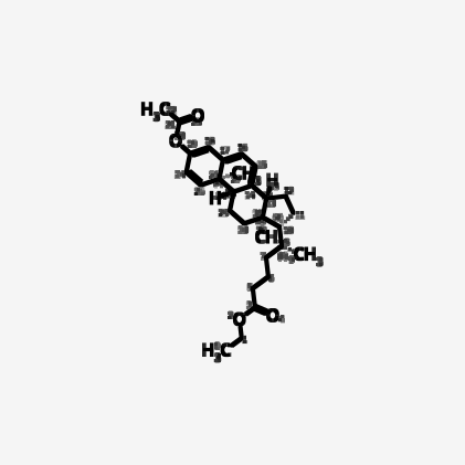 CCOC(=O)CCC[C@@H](C)[C@H]1CC[C@H]2C3=CC=C4C=C(OC(C)=O)C=C[C@]4(C)[C@H]3CC[C@]12C